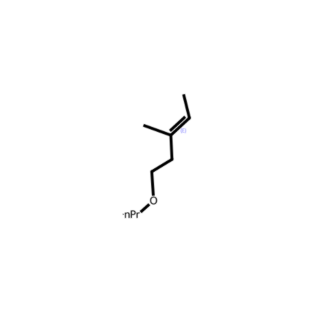 C/C=C(\C)CCO[CH]CC